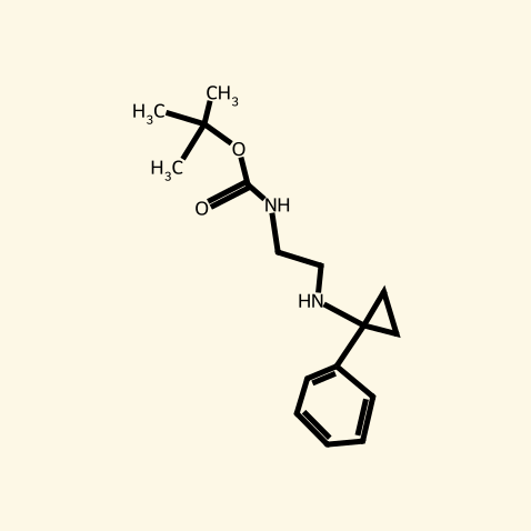 CC(C)(C)OC(=O)NCCNC1(c2ccccc2)CC1